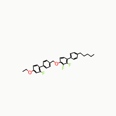 CCCCCc1ccc(-c2ccc(OCc3ccc(-c4ccc(OCC)cc4F)cc3)c(F)c2F)cc1